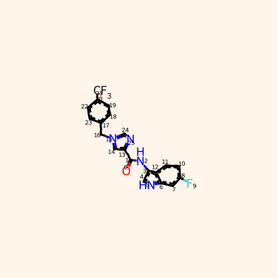 O=C(Nc1c[nH]c2cc(F)ccc12)c1cn(Cc2ccc(C(F)(F)F)cc2)cn1